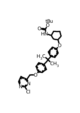 CC(C)(C)OC(=O)NC1CCCC(Oc2ccc(C(C)(C)c3ccc(OCc4ccnc(Cl)n4)cc3)cc2)C1